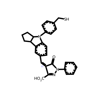 O=C(O)C1=NN(c2ccccc2)C(=O)/C1=C\c1ccc2c(c1)C1CCCC1N2c1ccc(CS)cc1